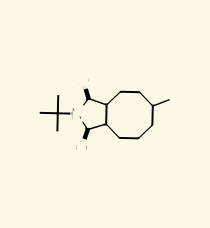 CC1CCCC2C(=O)N(C(C)(C)C)C(=O)C2CC1